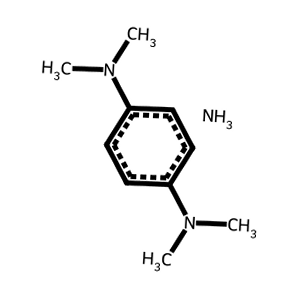 CN(C)c1ccc(N(C)C)cc1.N